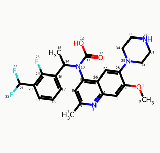 COc1cc2nc(C)cc(N(C(=O)O)C(C)c3cccc(C(F)F)c3F)c2cc1N1CCNCC1